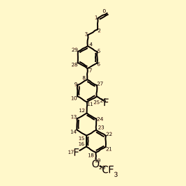 C=CCCc1ccc(-c2ccc(-c3ccc4c(F)c(OC(F)(F)F)ccc4c3)c(F)c2)cc1